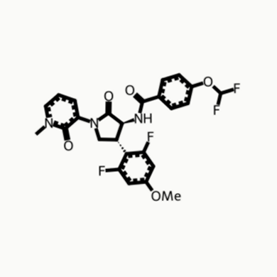 COc1cc(F)c([C@@H]2CN(c3cccn(C)c3=O)C(=O)[C@H]2NC(=O)c2ccc(OC(F)F)cc2)c(F)c1